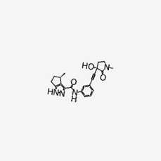 C[C@@H]1CCc2[nH]nc(C(=O)Nc3cccc(C#C[C@]4(O)CCN(C)C4=O)c3)c21